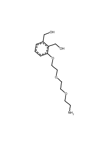 NCCOCCOCCOc1cccc(CO)c1CO